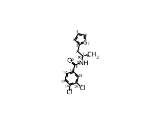 C[C@H](Cc1cccs1)NC(=O)c1ccc(Cl)c(Cl)c1